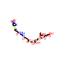 CCC(CO)OC(COC(=O)CCCC(=O)O)OCCCC(CO)OC(COC(=O)CCCC(=O)NCCCNC(=O)CCC(C)(C)SSc1ccc([N+](=O)[O-])cn1)OC